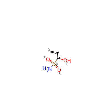 C=CC(O)S(N)(=O)=O